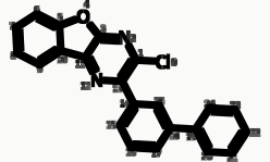 Clc1nc2oc3ccccc3c2nc1-c1cccc(-c2ccccc2)c1